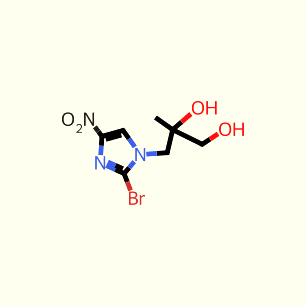 CC(O)(CO)Cn1cc([N+](=O)[O-])nc1Br